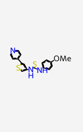 COc1ccc(NC(=S)Nc2csc(-c3ccncc3)c2)cc1